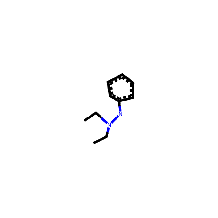 CCN(CC)[N]c1ccccc1